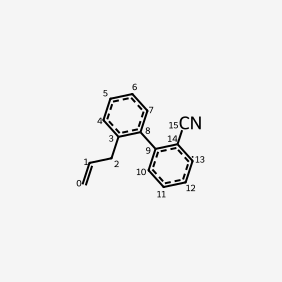 C=CCc1ccccc1-c1ccc[c]c1C#N